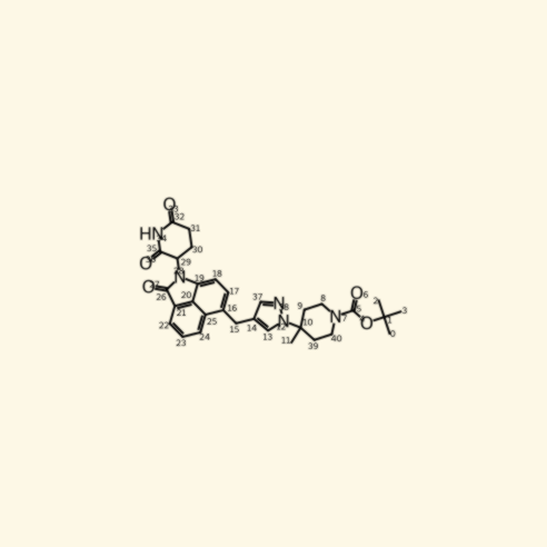 CC(C)(C)OC(=O)N1CCC(C)(n2cc(Cc3ccc4c5c(cccc35)C(=O)N4C3CCC(=O)NC3=O)cn2)CC1